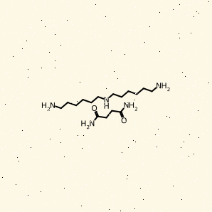 NC(=O)CCC(N)=O.NCCCCCCNCCCCCCN